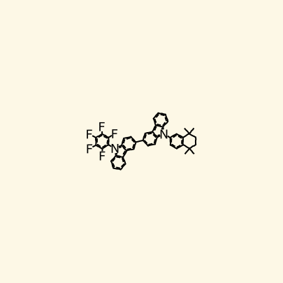 CC1(C)CCC(C)(C)c2cc(-n3c4ccccc4c4cc(-c5ccc6c(c5)c5ccccc5n6-c5c(F)c(F)c(F)c(F)c5F)ccc43)ccc21